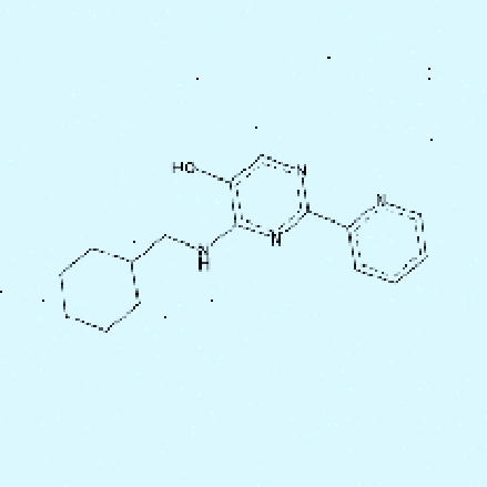 Oc1cnc(-c2ccccn2)nc1NCC1CCCCC1